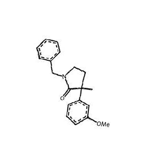 COc1cccc(C2(C)CCN(Cc3ccccc3)C2=O)c1